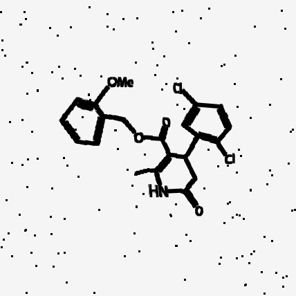 COc1ccccc1COC(=O)C1=C(C)NC(=O)CC1c1cc(Cl)ccc1Cl